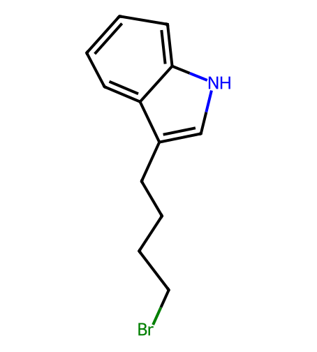 BrCCCCc1c[nH]c2ccccc12